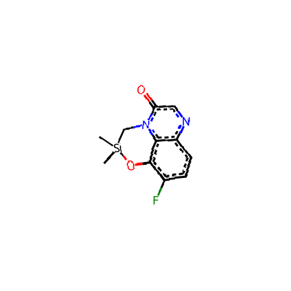 C[Si]1(C)Cn2c(=O)cnc3ccc(F)c(c32)O1